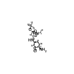 CCNC[C@H](CC(=O)OC(C)(C)C)Nc1ccc(N)c(Cl)c1